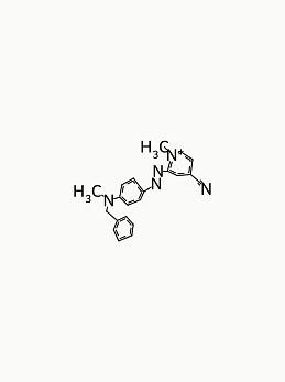 CN(Cc1ccccc1)c1ccc(/N=N/c2cc(C#N)cc[n+]2C)cc1